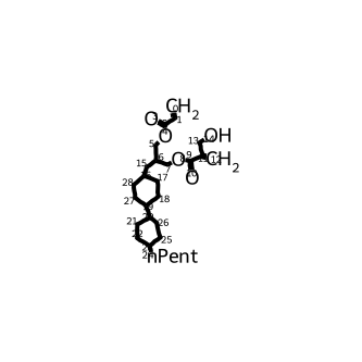 C=CC(=O)OCC(COC(=O)C(=C)CO)CC1CCC(C2CCC(CCCCC)CC2)CC1